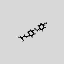 O=C(O)/C=C/c1ccc(OCc2ccc(Cl)cc2)cc1